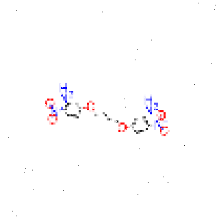 Nc1cc(OCCCCOc2ccc([N+](=O)[O-])c(N)c2)ccc1[N+](=O)[O-]